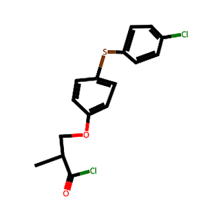 CC(COc1ccc(Sc2ccc(Cl)cc2)cc1)C(=O)Cl